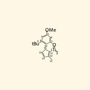 [CH2]=[Ti]([O]c1cc(OC)cc(C(C)(C)C)c1)[C]1=C(C)C=CC1